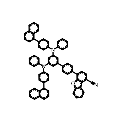 N#Cc1ccc(-c2ccc(-c3cc(N(c4ccccc4)c4ccc(-c5cccc6ccccc56)cc4)cc(N(c4ccccc4)c4ccc(-c5cccc6ccccc56)cc4)c3)cc2)c2oc3ccccc3c12